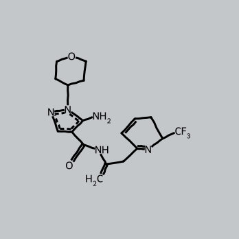 C=C(CC1=NC(C(F)(F)F)CC=C1)NC(=O)c1cnn(C2CCOCC2)c1N